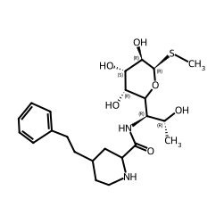 CS[C@H]1OC([C@H](NC(=O)C2CC(CCc3ccccc3)CCN2)[C@@H](C)O)[C@H](O)[C@H](O)[C@H]1O